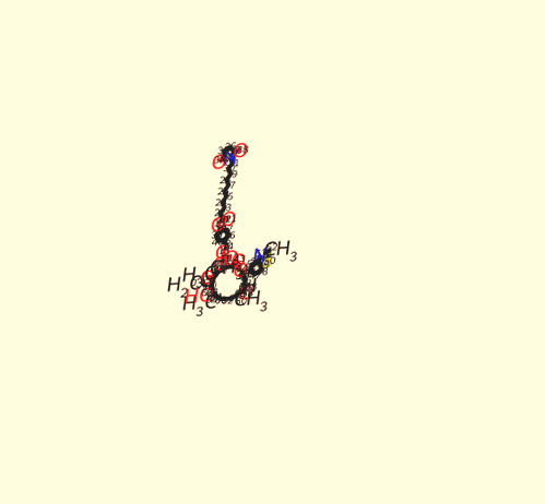 C=CC[C@H]1C(=O)C(C)(C)[C@@H](OC(=O)OCc2ccc(OC(=O)CCCCCCCCCCN3C(=O)C=CC3=O)cc2)CC(=O)O[C@H](c2ccc3sc(C)nc3c2)C[C@@H]2O[C@]2(C)CCC[C@H](C)[C@@H]1O